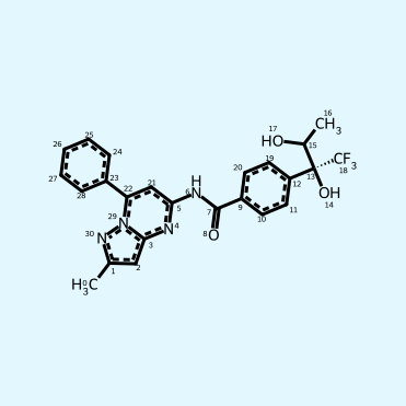 Cc1cc2nc(NC(=O)c3ccc([C@](O)(C(C)O)C(F)(F)F)cc3)cc(-c3ccccc3)n2n1